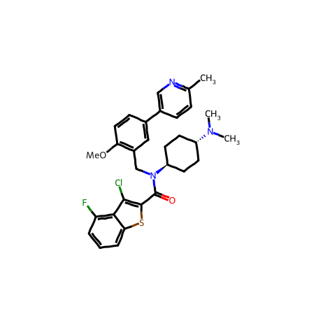 COc1ccc(-c2ccc(C)nc2)cc1CN(C(=O)c1sc2cccc(F)c2c1Cl)[C@H]1CC[C@H](N(C)C)CC1